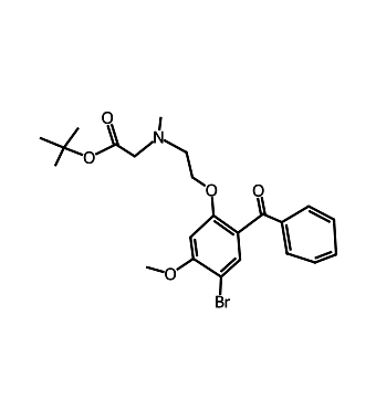 COc1cc(OCCN(C)CC(=O)OC(C)(C)C)c(C(=O)c2ccccc2)cc1Br